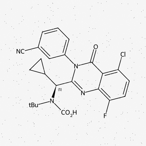 CC(C)(C)N(C(=O)O)[C@H](c1nc2c(F)ccc(Cl)c2c(=O)n1-c1cccc(C#N)c1)C1CC1